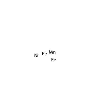 [Fe].[Fe].[Mn].[Ni]